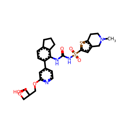 CN1CCc2sc(S(=O)(=O)NC(=O)Nc3c(-c4ccnc(OCC5(CO)COC5)c4)ccc4c3CCC4)cc2C1